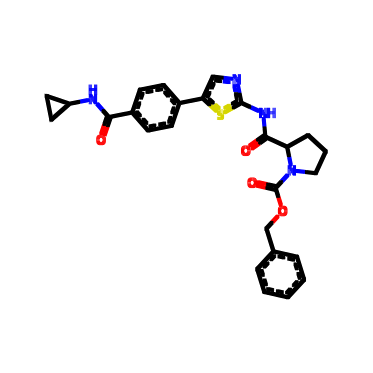 O=C(NC1CC1)c1ccc(-c2cnc(NC(=O)C3CCCN3C(=O)OCc3ccccc3)s2)cc1